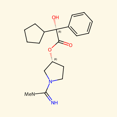 CNC(=N)N1CC[C@@H](OC(=O)[C@](O)(c2ccccc2)C2CCCC2)C1